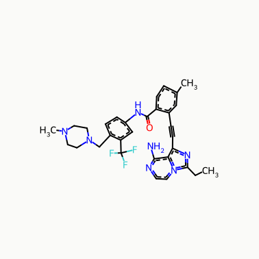 CCc1nc(C#Cc2cc(C)ccc2C(=O)Nc2ccc(CN3CCN(C)CC3)c(C(F)(F)F)c2)c2c(N)nccn12